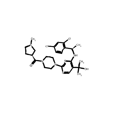 C[C@@H](Nc1nc(N2CCN(C(=O)[C@H]3CCN(C)C3)CC2)ncc1C(C)(C)O)c1ccc(Cl)cc1Cl